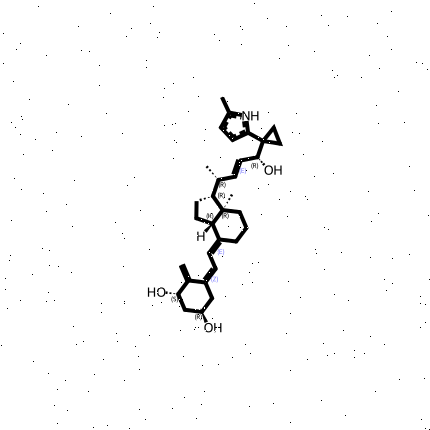 C=C1/C(=C\C=C2/CCC[C@]3(C)[C@@H]([C@H](C)/C=C/[C@@H](O)C4(c5ccc(C)[nH]5)CC4)CC[C@@H]23)C[C@@H](O)C[C@@H]1O